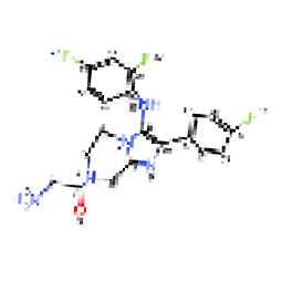 NCC(=O)N1CCn2c(nc(-c3ccc(F)cc3)c2Nc2ccc(F)cc2F)C1